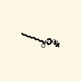 CCCCCCCCCCCC(=O)N1CCC(O[Si](C)(C)C(C)(C)C)CC1